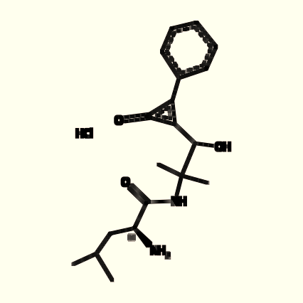 CC(C)C[C@H](N)C(=O)NC(C)(C)C(O)c1c(-c2ccccc2)c1=O.Cl